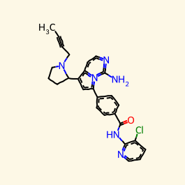 CC#CCN1CCCC1c1cc(-c2ccc(C(=O)Nc3ncccc3Cl)cc2)n2c(N)nccc12